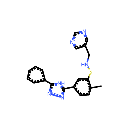 Cc1ccc(-c2nnc(-c3ccccc3)[nH]2)cc1SNCc1cncnc1